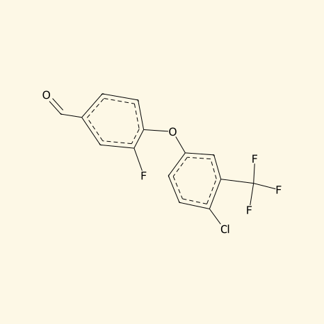 O=Cc1ccc(Oc2ccc(Cl)c(C(F)(F)F)c2)c(F)c1